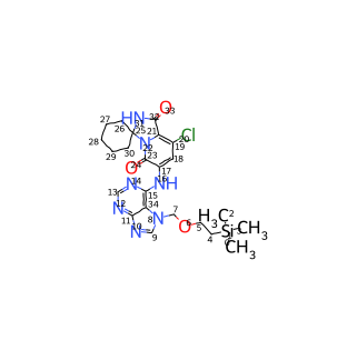 C[Si](C)(C)CCOCn1cnc2ncnc(Nc3cc(Cl)c4n(c3=O)C3(CCCCC3)NC4=O)c21